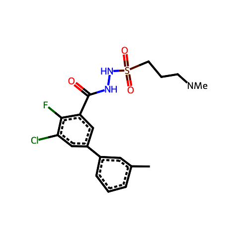 CNCCCS(=O)(=O)NNC(=O)c1cc(-c2cccc(C)c2)cc(Cl)c1F